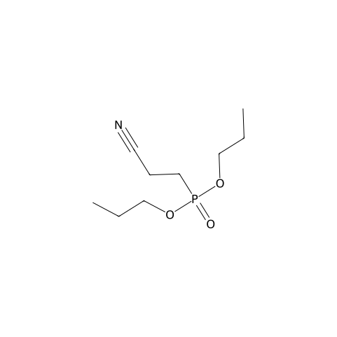 CCCOP(=O)(CCC#N)OCCC